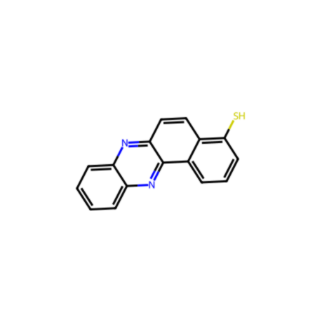 Sc1cccc2c1ccc1nc3ccccc3nc12